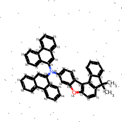 CC1(C)c2ccccc2-c2c1ccc1oc3cc(N(c4cc5ccccc5c5ccccc45)c4cc5ccccc5c5ccccc45)ccc3c21